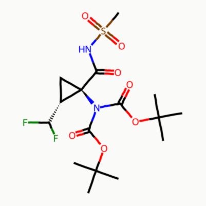 CC(C)(C)OC(=O)N(C(=O)OC(C)(C)C)[C@]1(C(=O)NS(C)(=O)=O)C[C@H]1C(F)F